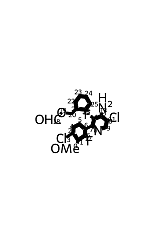 COc1c(Cl)ccc(-c2ncc(Cl)c(N)c2F)c1F.O=COCc1ccccc1